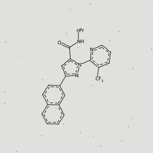 CCCNC(=O)c1cc(-c2ccc3ccccc3c2)nn1-c1ncccc1C(F)(F)F